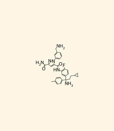 Cc1ccc(C(N)(CCC2CC2)c2ccc(F)c(NC(=O)c3cc(C(N)=O)nn3-c3cccc(CN)c3)c2)cc1